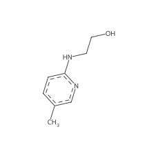 Cc1ccc(NCCO)nc1